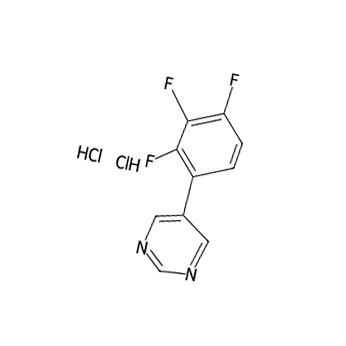 Cl.Cl.Fc1ccc(-c2cncnc2)c(F)c1F